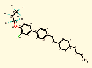 CCCCC1CCC(CCc2ccc(-c3ccc(OC(F)(F)C(F)C(F)(F)F)c(Cl)c3)cc2)CC1